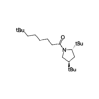 CC(C)(C)CCCCCC(=O)N1C[C@H](C(C)(C)C)C[C@H]1C(C)(C)C